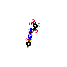 Cc1ccc(S(=O)(=O)N2CCN(C(=O)CNC(=O)c3cc(Cl)cc([N+](=O)[O-])c3)CC2)cc1